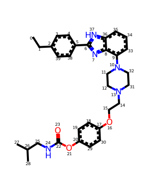 CCc1ccc(-c2nc3c(N4CCN(CCOc5ccc(OC(=O)NCC(C)C)cc5)CC4)cccc3[nH]2)cc1